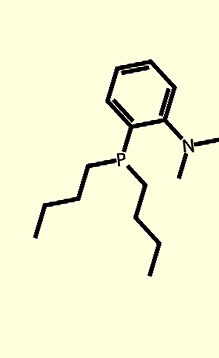 CCCCP(CCCC)c1ccccc1N(C)C